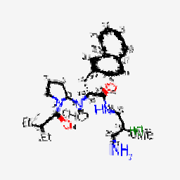 CCC(CC)C(=O)N1CCCC1N(C=O)[C@H](Cc1ccc2ccccc2c1)C(=O)NCC(CN)OC.Cl